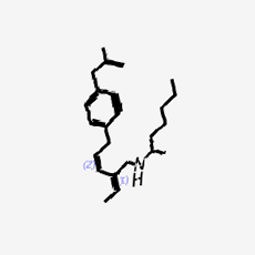 C=C(C)Cc1c#cc(C/C=C\C(=C/C)CNC(C)CCCCC)cc1